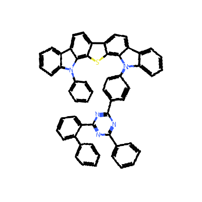 c1ccc(-c2nc(-c3ccc(-n4c5ccccc5c5ccc6c7ccc8c9ccccc9n(-c9ccccc9)c8c7sc6c54)cc3)nc(-c3ccccc3-c3ccccc3)n2)cc1